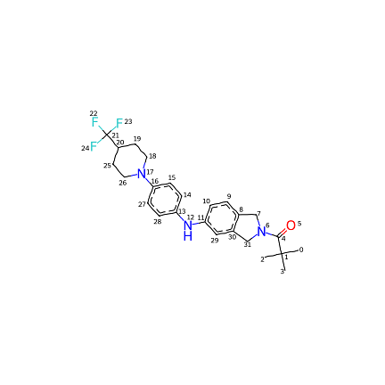 CC(C)(C)C(=O)N1Cc2ccc(Nc3ccc(N4CCC(C(F)(F)F)CC4)cc3)cc2C1